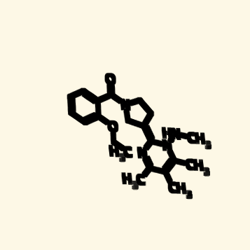 CCOc1ccccc1C(=O)N1CC/C(=C2/N=C(C)C(C)=C(C)N2NC)C1